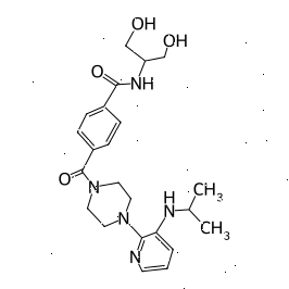 CC(C)Nc1cccnc1N1CCN(C(=O)c2ccc(C(=O)NC(CO)CO)cc2)CC1